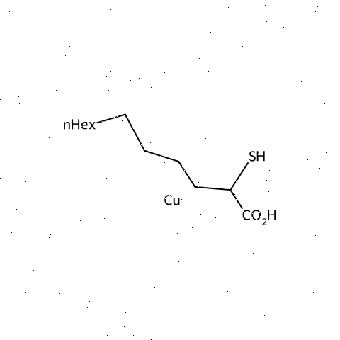 CCCCCCCCCCC(S)C(=O)O.[Cu]